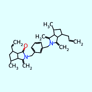 C=CCC1CC(C)C2C(=C)N(Cc3cccc(CN4C(=C)C5C(C)CC(C=C)C5C4=O)c3)C(=C)C12